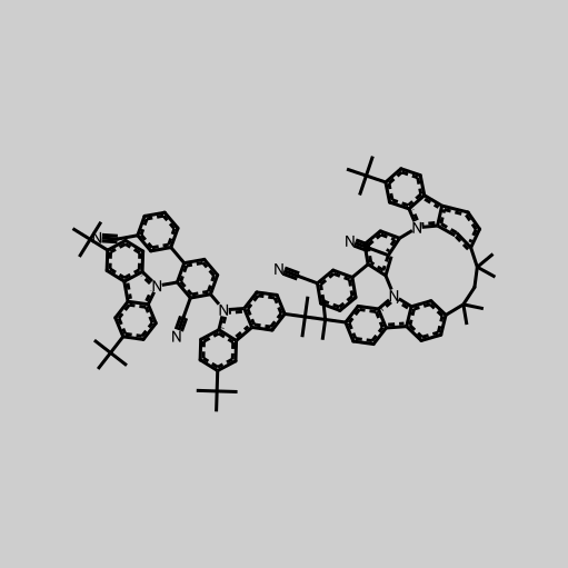 CC(C)(C)c1ccc2c(c1)c1cc(C(C)(C)C(C)(C)c3ccc4c5ccc6cc5n(c4c3)-c3c(-c4cccc(C#N)c4)ccc(c3C#N)-n3c4cc(C(C)(C)C)ccc4c4ccc(cc43)C(C)(C)CC6(C)C)ccc1n2-c1ccc(-c2cccc(C#N)c2)c(-n2c3ccc(C(C)(C)C)cc3c3cc(C(C)(C)C)ccc32)c1C#N